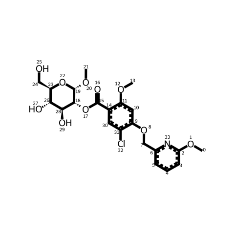 COc1cccc(COc2cc(OC)c(C(=O)O[C@H]3[C@@H](OC)O[C@H](CO)[C@@H](O)[C@@H]3O)cc2Cl)n1